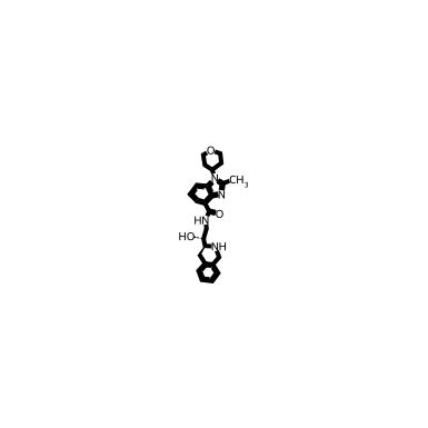 Cc1nc2c(C(=O)NC[C@@H](O)[C@@H]3Cc4ccccc4CN3)cccc2n1C1CCOCC1